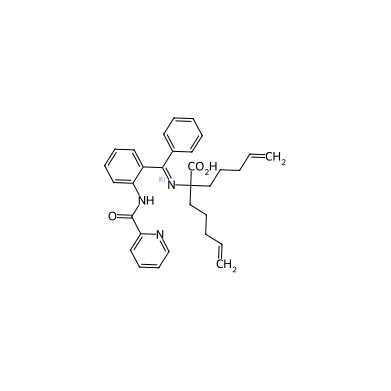 C=CCCCC(CCCC=C)(/N=C(\c1ccccc1)c1ccccc1NC(=O)c1ccccn1)C(=O)O